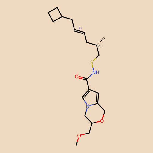 COCC1Cn2cc(C(=O)NSC[C@@H](C)C/C=C/CC3CCC3)cc2CO1